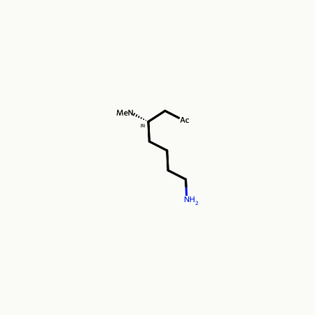 CN[C@@H](CCCCN)CC(C)=O